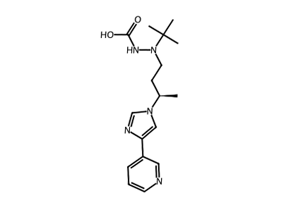 C[C@H](CCN(NC(=O)O)C(C)(C)C)n1cnc(-c2cccnc2)c1